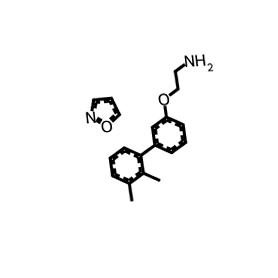 Cc1cccc(-c2cccc(OCCN)c2)c1C.c1cnoc1